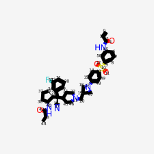 C=CC(=O)Nc1cccc(S(=O)(=O)c2ccc(N3CC(CN4CCC([C@@](C#N)(c5cccc(F)c5)[C@H]5CCC[C@@H]5NC(=O)CC)CC4)C3)cc2)c1